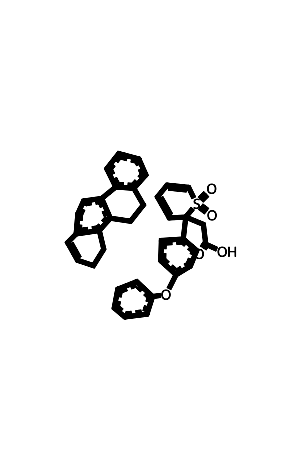 C1=Cc2ccc3c(c2CC1)CCc1ccccc1-3.O=C(O)CC1(c2ccc(Oc3ccccc3)cc2)C=CC=CS1(=O)=O